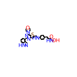 O=C(C=Cc1ccc(NCc2cc3nc(-c4cccc5[nH]ncc45)nc(N4CCOCC4)c3s2)cc1)NO